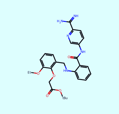 CCOc1cccc(CNc2ccccc2C(=O)Nc2ccc(C(=N)N)nc2)c1OCC(=O)OC(C)(C)C